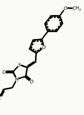 C=CCN1C(=O)S/C(=C\c2ccc(-c3ccc(OC)cc3)o2)C1=O